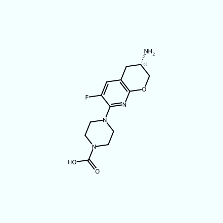 N[C@@H]1COc2nc(N3CCN(C(=O)O)CC3)c(F)cc2C1